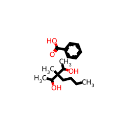 CCCCC(C)(C(C)O)C(C)O.O=C(O)c1ccccc1